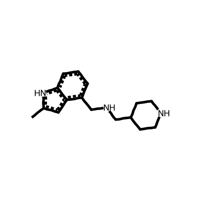 Cc1cc2c(CNCC3CCNCC3)cccc2[nH]1